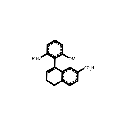 COc1cccc(OC)c1C1=CCCc2ccc(C(=O)O)cc21